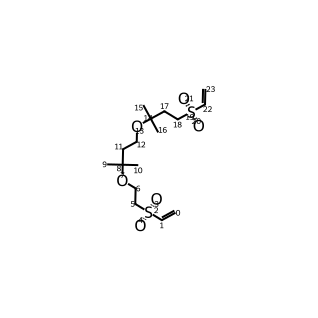 C=CS(=O)(=O)CCOC(C)(C)CCOC(C)(C)CCS(=O)(=O)C=C